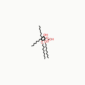 CCCCCCCCCCOc1c(CCCCCCC)c(CCCCCCC)c(O)c(OC(=O)O)c1OCCCCCCCCCC